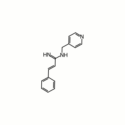 N=C(/C=C/c1ccccc1)NCc1ccncc1